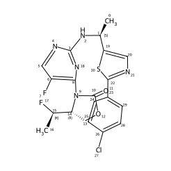 C[C@H](Nc1ncc(F)c(N2C(=O)OC[C@@H]2[C@@H](C)F)n1)c1cnc(-c2ccc(Cl)cc2)s1